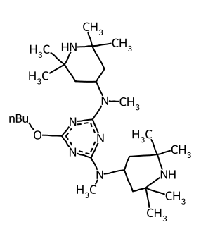 CCCCOc1nc(N(C)C2CC(C)(C)NC(C)(C)C2)nc(N(C)C2CC(C)(C)NC(C)(C)C2)n1